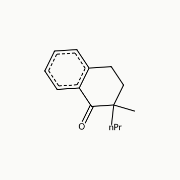 CCCC1(C)CCc2ccccc2C1=O